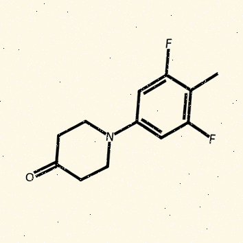 Cc1c(F)cc(N2CCC(=O)CC2)cc1F